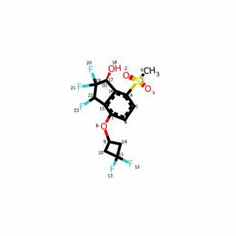 CS(=O)(=O)c1ccc(OC2CC(F)(F)C2)c2c1[C@H](O)C(F)(F)C2F